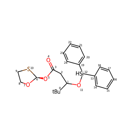 CC(C)(C)C(CC(=O)O[C@H]1OCCS1)O[SiH](c1ccccc1)c1ccccc1